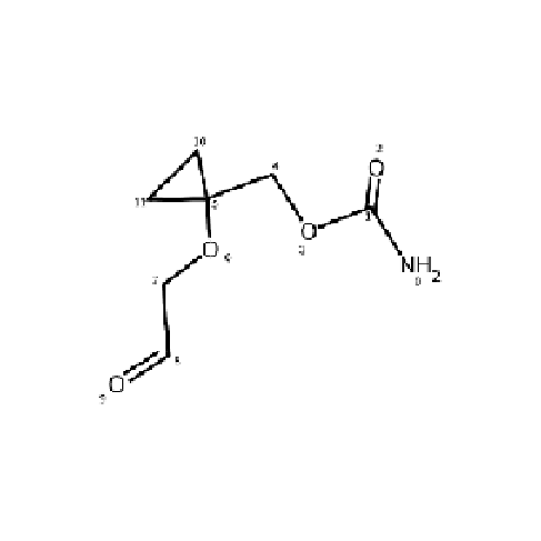 NC(=O)OCC1(OCC=O)CC1